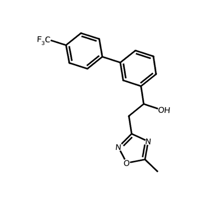 Cc1nc(CC(O)c2cccc(-c3ccc(C(F)(F)F)cc3)c2)no1